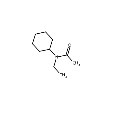 CCN(C(C)=O)C1CCCCC1